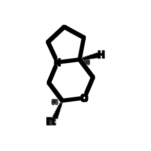 CC[C@@H]1CN2CCC[C@H]2CO1